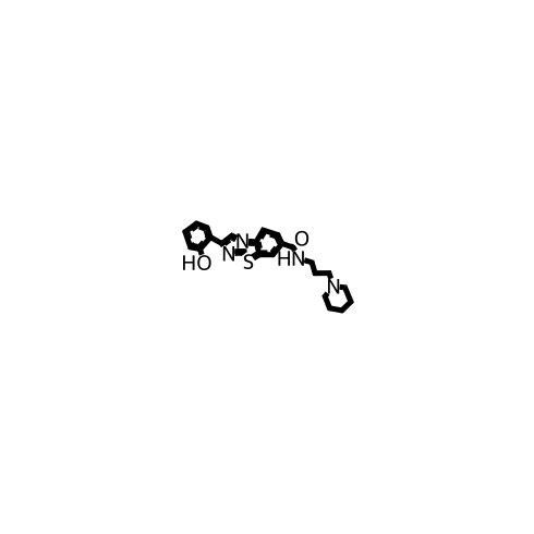 O=C(NCCCN1CCCCC1)c1ccc2c(c1)sc1nc(-c3ccccc3O)cn12